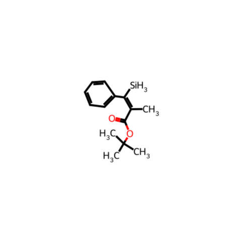 CC(C(=O)OC(C)(C)C)=C([SiH3])c1ccccc1